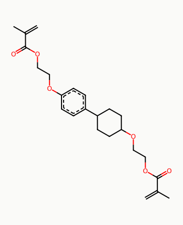 C=C(C)C(=O)OCCOc1ccc(C2CCC(OCCOC(=O)C(=C)C)CC2)cc1